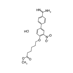 COC(=O)CCCCCOc1ccc(-c2ccc(C(=N)N)cc2)cc1[N+](=O)[O-].Cl